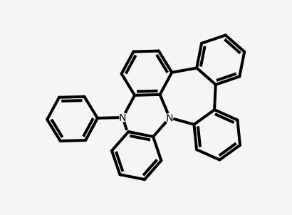 CN(c1ccccc1)c1cccc2c1N(c1ccccc1)c1ccccc1-c1ccccc1-2